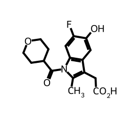 Cc1c(CC(=O)O)c2cc(O)c(F)cc2n1C(=O)C1CCOCC1